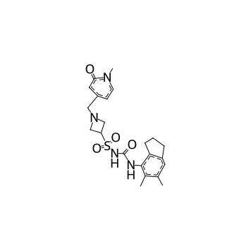 Cc1cc2c(c(NC(=O)NS(=O)(=O)C3CN(Cc4ccn(C)c(=O)c4)C3)c1C)CCC2